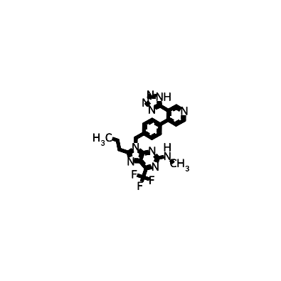 CCCc1nc2c(C(F)(F)F)nc(NC)nc2n1Cc1ccc(-c2ccncc2-c2nnn[nH]2)cc1